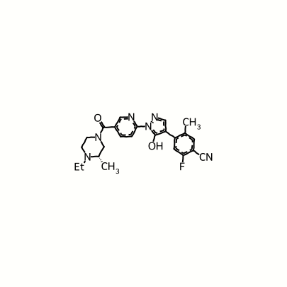 CCN1CCN(C(=O)c2ccc(-n3ncc(-c4cc(F)c(C#N)cc4C)c3O)nc2)C[C@@H]1C